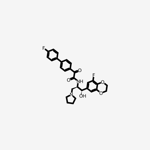 O=C(N[C@H](CN1CCCC1)[C@@H](O)c1cc(F)c2c(c1)OCCO2)C(=O)c1ccc(-c2ccc(F)cc2)cc1